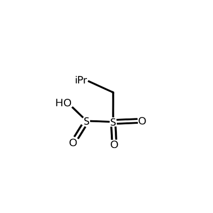 CC(C)CS(=O)(=O)S(=O)O